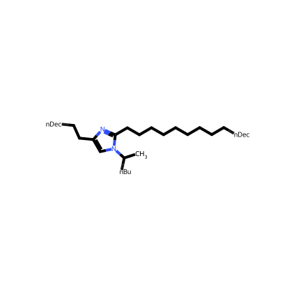 CCCCCCCCCCCCCCCCCCCc1nc(CCCCCCCCCCCC)cn1C(C)CCCC